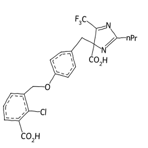 CCCC1=NC(Cc2ccc(OCc3cccc(C(=O)O)c3Cl)cc2)(C(=O)O)C(C(F)(F)F)=N1